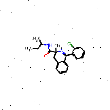 CCC(C)NC(=O)C1(C)Cc2ccccc2C(c2ccccc2Cl)=N1